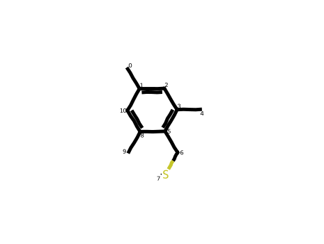 Cc1cc(C)c(C[S])c(C)c1